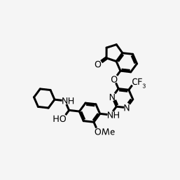 COc1cc(C(O)NC2CCCCC2)ccc1Nc1ncc(C(F)(F)F)c(Oc2cccc3c2C(=O)CC3)n1